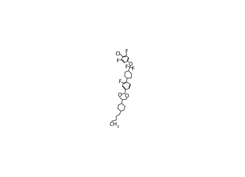 CCCCCC1CCC(C2COC(c3ccc(C4CCC(C(F)(F)Oc5cc(F)c(Cl)c(F)c5)CC4)c(F)c3)OC2)CC1